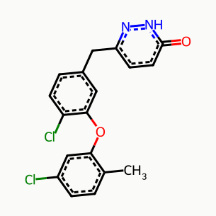 Cc1ccc(Cl)cc1Oc1cc(Cc2ccc(=O)[nH]n2)ccc1Cl